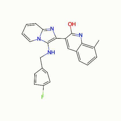 Cc1cccc2cc(-c3nc4ccccn4c3NCc3ccc(F)cc3)c(O)nc12